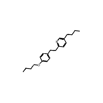 CCCCOc1ccc(CCc2ccc(CCCC)cn2)cc1